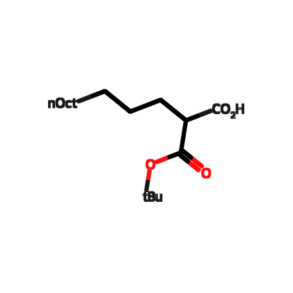 CCCCCCCCCCCC(C(=O)O)C(=O)OC(C)(C)C